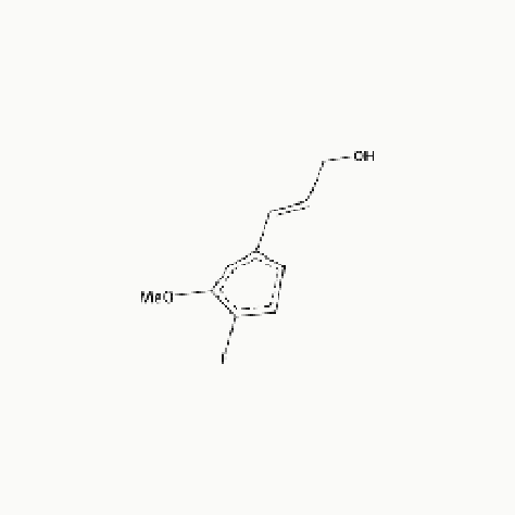 COc1cc(C=CCO)ccc1F